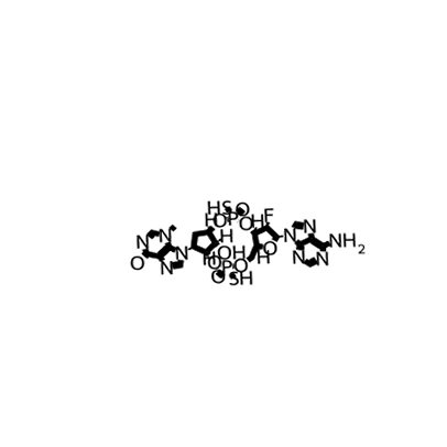 Cn1cnc(=O)c2ncn([C@@H]3C[C@@H]4OP(=O)(S)O[C@H]5[C@@H](F)[C@H](n6cnc7c(N)ncnc76)O[C@@H]5COP(=O)(S)O[C@@H]3[C@@H]4O)c21